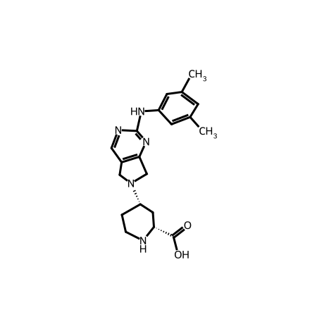 Cc1cc(C)cc(Nc2ncc3c(n2)CN([C@H]2CCN[C@@H](C(=O)O)C2)C3)c1